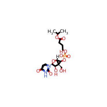 CC(C)OC(=O)CCCOP(=O)(O)OC1[C@H]2O[C@@H](n3ccc(=O)[nH]c3=O)[C@H](O)[C@@]12CO